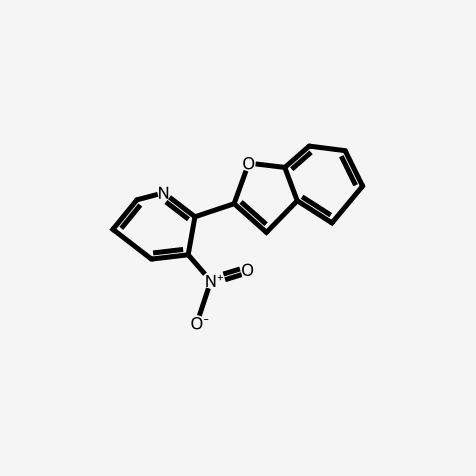 O=[N+]([O-])c1cccnc1-c1cc2ccccc2o1